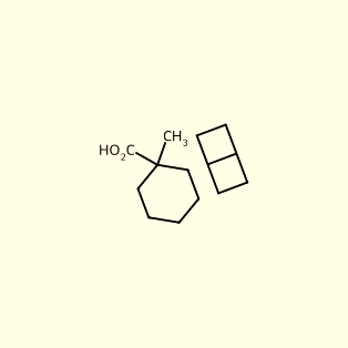 C1CC2CCC12.CC1(C(=O)O)CCCCC1